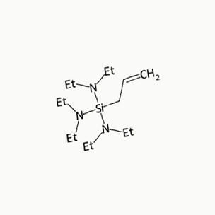 C=CC[Si](N(CC)CC)(N(CC)CC)N(CC)CC